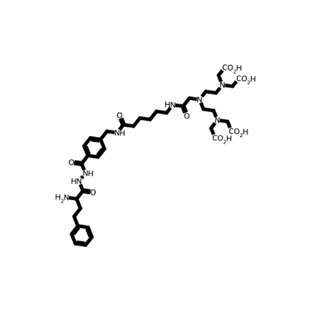 NC(CCc1ccccc1)C(=O)NNC(=O)c1ccc(CNC(=O)CCCCCNC(=O)CN(CCN(CC(=O)O)CC(=O)O)CCN(CC(=O)O)CC(=O)O)cc1